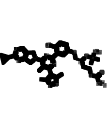 Cc1noc(C)c1-c1nc(-c2cc(OC[C@@H](CCOC(N)=O)O[Si](C)(C)C(C)(C)C)ccc2Cl)nc(N2Cc3cnc(C4CC4)nc3C2)c1C